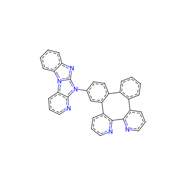 c1ccc2c(c1)-c1ccc(-n3c4ncccc4n4c5ccccc5nc34)cc1-c1cccnc1-c1ncccc1-2